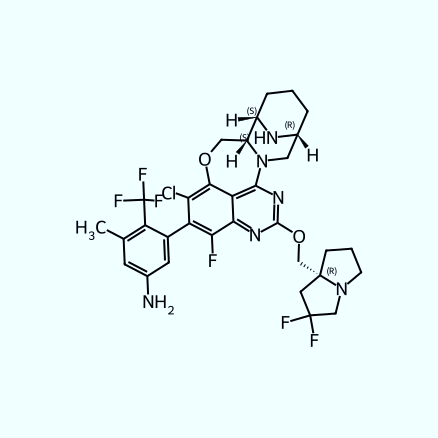 Cc1cc(N)cc(-c2c(Cl)c3c4c(nc(OC[C@]56CCCN5CC(F)(F)C6)nc4c2F)N2C[C@H]4CCC[C@H](N4)[C@H]2CO3)c1C(F)(F)F